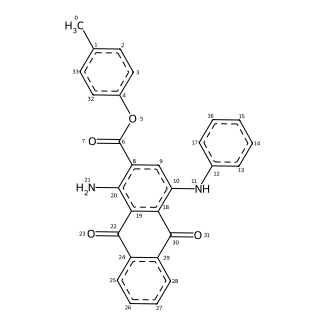 Cc1ccc(OC(=O)c2cc(Nc3ccccc3)c3c(c2N)C(=O)c2ccccc2C3=O)cc1